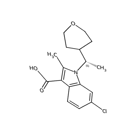 Cc1c(C(=O)O)c2ccc(Cl)cc2n1[C@@H](C)C1CCOCC1